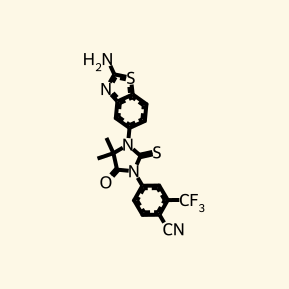 CC1(C)C(=O)N(c2ccc(C#N)c(C(F)(F)F)c2)C(=S)N1c1ccc2sc(N)nc2c1